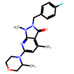 Cc1cc(N2CCOCC2C)nc2c1c(=O)n(Cc1ccc(F)cc1)n2C